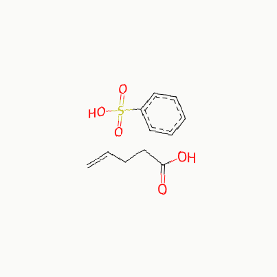 C=CCCC(=O)O.O=S(=O)(O)c1ccccc1